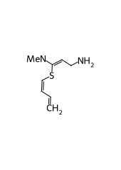 C=C/C=C\S/C(=C\CN)NC